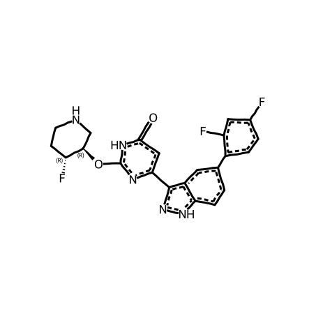 O=c1cc(-c2n[nH]c3ccc(-c4ccc(F)cc4F)cc23)nc(O[C@@H]2CNCC[C@H]2F)[nH]1